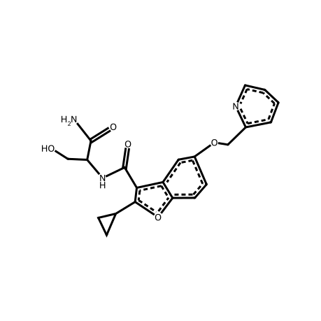 NC(=O)C(CO)NC(=O)c1c(C2CC2)oc2ccc(OCc3ccccn3)cc12